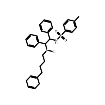 Cc1ccc(S(=O)(=O)NC(c2ccccc2)C(c2ccccc2)N(Cl)CCCCC2=CCC=CC2)cc1